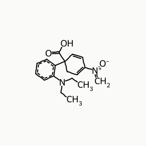 C=[N+]([O-])C1=CCC(C(=O)O)(c2ccccc2N(CC)CC)C=C1